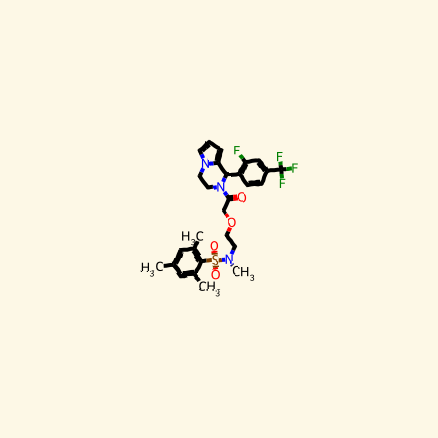 Cc1cc(C)c(S(=O)(=O)N(C)CCOCC(=O)N2CCn3cccc3C2c2ccc(C(F)(F)F)cc2F)c(C)c1